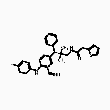 CC(C)(CNC(=O)Cc1cccs1)[C@H](c1ccccc1)c1ccc(NC2=CC=C(F)CC2)c(C=N)c1